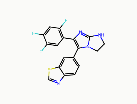 Fc1cc(F)c(-c2nc3n(c2-c2ccc4ncsc4c2)CCN3)cc1F